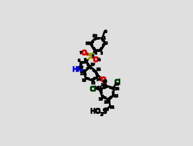 Cc1ccc(S(=O)(=O)c2c[nH]c3ccc(Oc4c(Cl)cc(CS(=O)(=O)O)cc4Cl)cc23)cc1